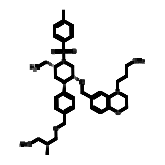 COCCCN1CCOc2ccc(CO[C@H]3CN(S(=O)(=O)c4ccc(C)cc4)[C@@H](CN)C[C@@H]3c3ccc(COC[C@@H](C)COC)cc3)cc21